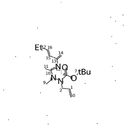 C=CCN(C(=O)OC(C)(C)C)N(C)/C(C)=N/C(=C)/C=C/CC